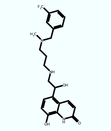 CN(CCCNCC(O)c1ccc(O)c2[nH]c(=O)ccc12)Cc1cccc(C(F)(F)F)c1